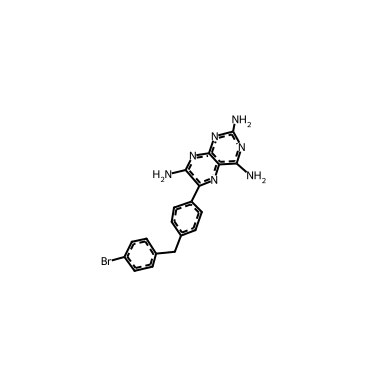 Nc1nc(N)c2nc(-c3ccc(Cc4ccc(Br)cc4)cc3)c(N)nc2n1